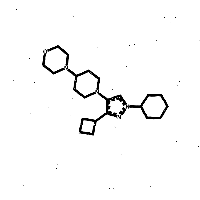 c1c(N2CCC(N3CCOCC3)CC2)c(C2CCC2)nn1C1CCCCC1